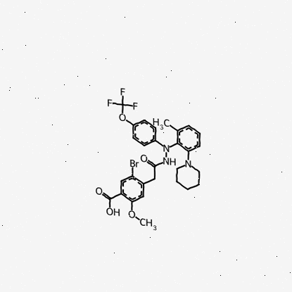 COc1cc(CC(=O)NN(c2ccc(OC(F)(F)F)cc2)c2c(C)cccc2N2CCCCC2)c(Br)cc1C(=O)O